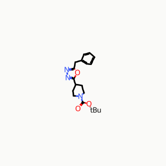 CC(C)(C)OC(=O)N1CCC(c2nnc(Cc3ccccc3)o2)CC1